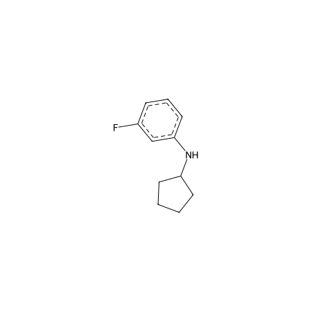 Fc1cccc(NC2CCCC2)c1